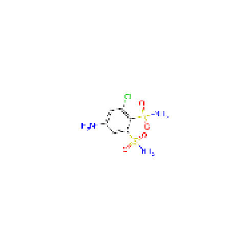 Nc1cc(Cl)c(S(N)(=O)=O)c(S(N)(=O)=O)c1